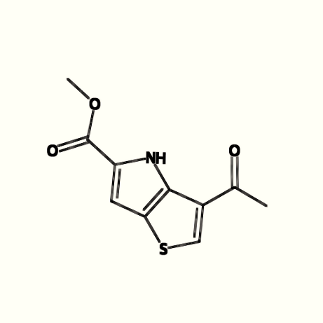 COC(=O)c1cc2scc(C(C)=O)c2[nH]1